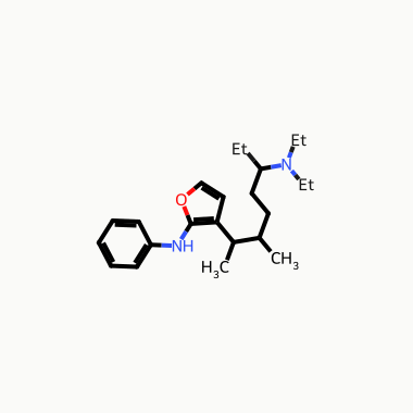 CCC(CCC(C)C(C)c1ccoc1Nc1ccccc1)N(CC)CC